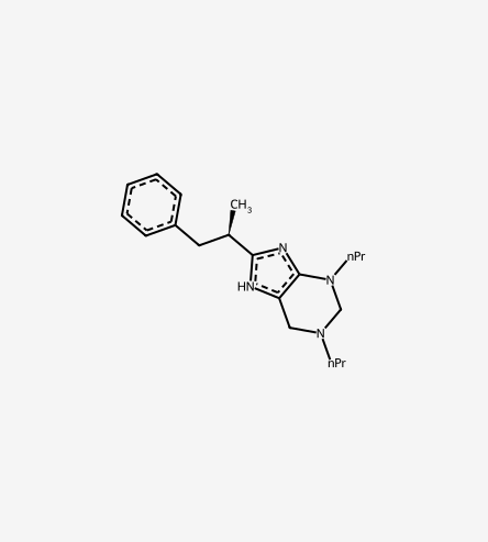 CCCN1Cc2[nH]c([C@H](C)Cc3ccccc3)nc2N(CCC)C1